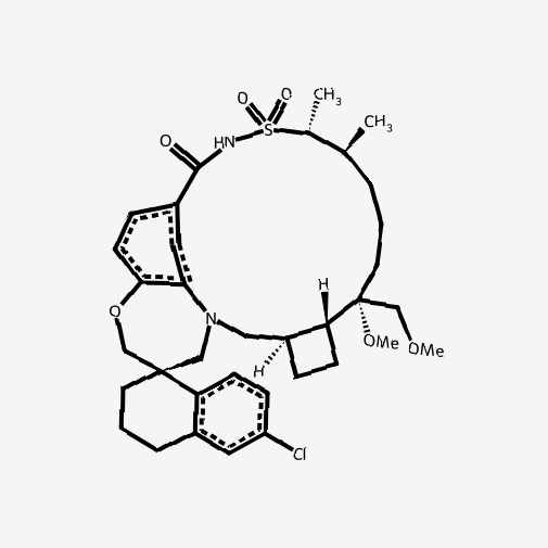 COC[C@]1(OC)CCC[C@H](C)[C@@H](C)S(=O)(=O)NC(=O)c2ccc3c(c2)N(C[C@@H]2CC[C@H]21)C[C@@]1(CCCc2cc(Cl)ccc21)CO3